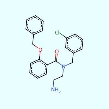 NCCN(Cc1cccc(Cl)c1)C(=O)c1ccccc1OCc1ccccc1